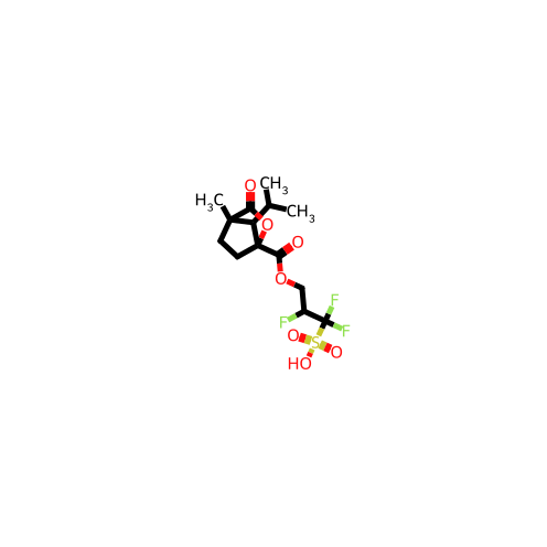 CC(C)C1C2(C)CCC1(C(=O)OCC(F)C(F)(F)S(=O)(=O)O)OC2=O